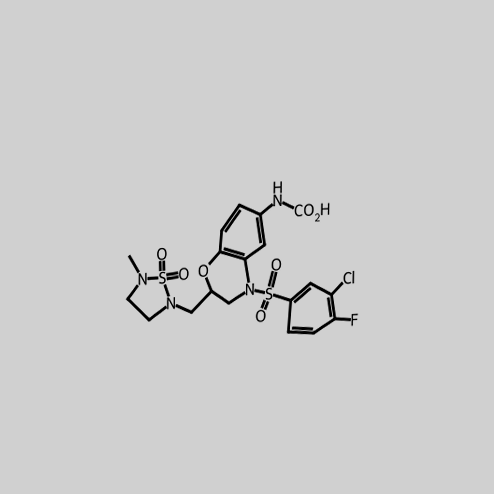 CN1CCN(CC2CN(S(=O)(=O)c3ccc(F)c(Cl)c3)c3cc(NC(=O)O)ccc3O2)S1(=O)=O